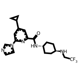 O=C(N[C@H]1CC[C@H](NCC(F)(F)F)CC1)c1cc(C2CC2)cc(-n2ccnc2)n1